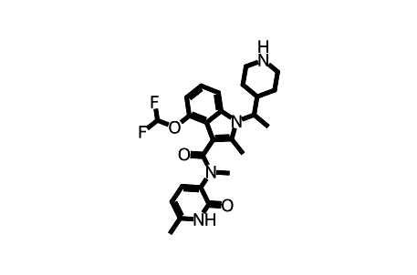 Cc1ccc(N(C)C(=O)c2c(C)n(C(C)C3CCNCC3)c3cccc(OC(F)F)c23)c(=O)[nH]1